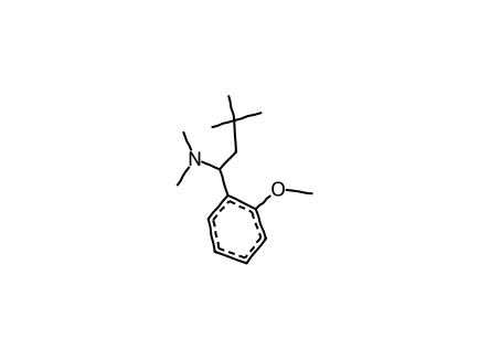 COc1ccccc1C(CC(C)(C)C)N(C)C